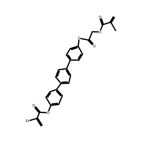 C=C(C)C(=O)OCC(=O)Oc1ccc(-c2ccc(-c3ccc(OC(=O)C(=C)CC)cc3)cc2)cc1